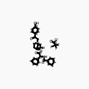 O=C(C[N+]12CCC(CC1)[C@@H](OC(=O)C(NC(=O)c1ccccc1)c1ccccc1)C2)c1ccc(O)cc1.O=C([O-])C(F)(F)F